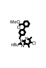 CCCCc1nc2c(C)c(Cl)c(C)nc2n1Cc1ccc(-c2ccccc2C(=O)OC)cc1